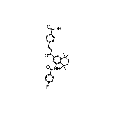 CC1(C)CCC(C)(C)c2c(NC(=O)c3ccc(F)cc3)cc(C(=O)C=Cc3ccc(C(=O)O)cc3)cc21